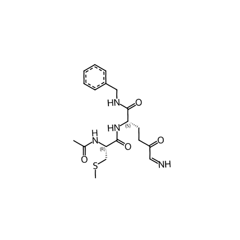 CSC[C@H](NC(C)=O)C(=O)N[C@@H](CCC(=O)C=N)C(=O)NCc1ccccc1